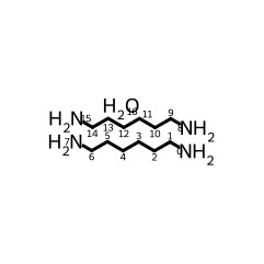 NCCCCCCN.NCCCCCCN.O